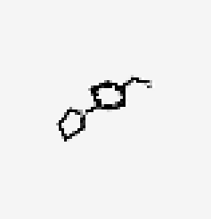 ClCc1ccc(N2CCCC2)cc1